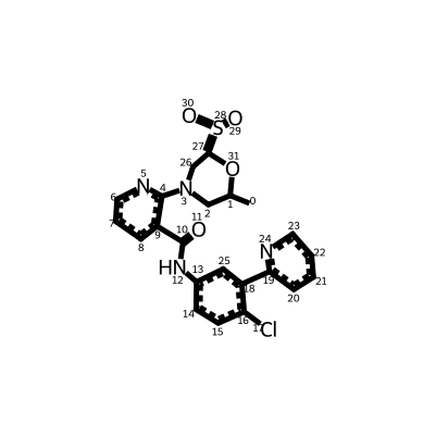 CC1CN(c2ncccc2C(=O)Nc2ccc(Cl)c(-c3ccccn3)c2)CC(=S(=O)=O)O1